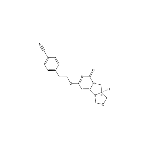 N#Cc1ccc(CCOc2cc3n(c(=O)n2)C[C@H]2COCN32)cc1